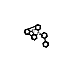 c1ccc(-c2cccc(N3c4cccc5c4B4c6c-5cccc6-c5cccc3c54)c2)cc1